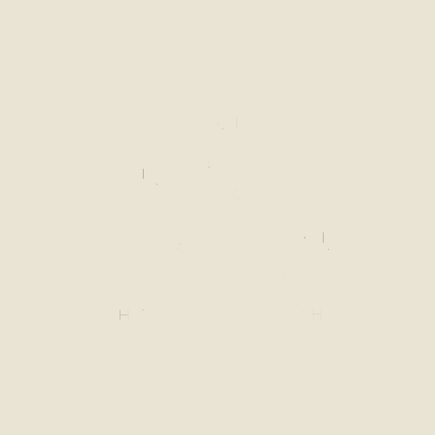 C=C(C)Sc1sc(C)cc1C(=C)C